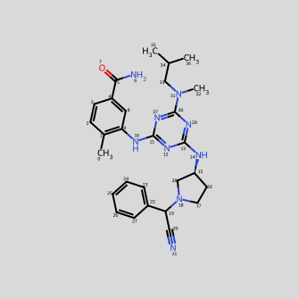 Cc1ccc(C(N)=O)cc1Nc1nc(N[C@H]2CCN(C(C#N)c3ccccc3)C2)nc(N(C)CC(C)C)n1